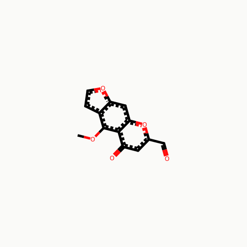 COc1c2ccoc2cc2oc(C=O)cc(=O)c12